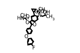 CNC(=O)Oc1c(-c2ccc(Oc3ccc(F)cc3)cc2)oc2cc(N(CC(C)O)S(C)(=O)=O)c(C3CC3)cc12